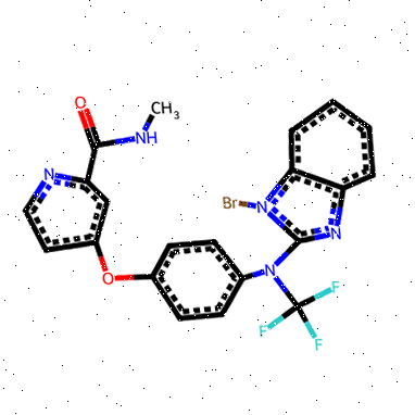 CNC(=O)c1cc(Oc2ccc(N(c3nc4ccccc4n3Br)C(F)(F)F)cc2)ccn1